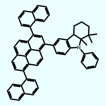 CC1(C)CCCC2c3cc(-c4cc(-c5cccc6ccccc56)c5ccc6ccc(-c7cccc8ccccc78)c7ccc4c5c67)ccc3N(c3ccccc3)C21C